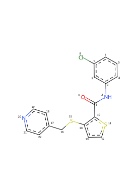 O=C(Nc1cccc(Cl)c1)c1sccc1SCc1ccncc1